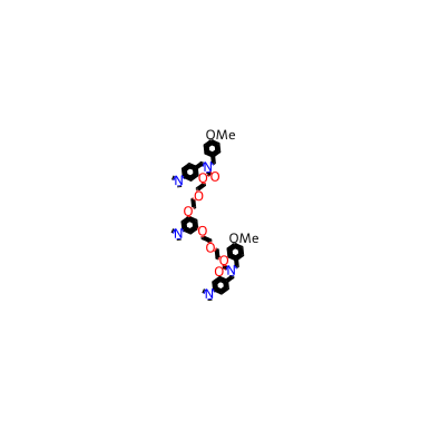 COc1ccc(CN(Cc2ccc(N(C)C)cc2)C(=O)OCCOCCOc2cc(OCCOCCOC(=O)N(Cc3ccc(OC)cc3)Cc3ccc(N(C)C)cc3)cc(N(C)C)c2)cc1